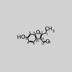 CCc1oc2cc(O)ccc2c1C=O